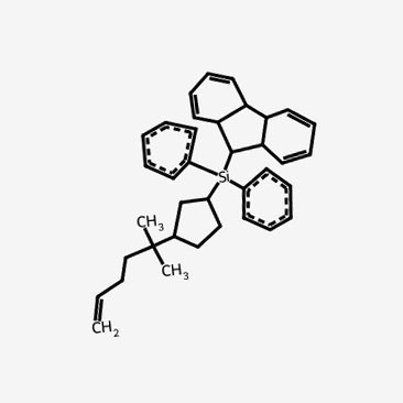 C=CCCC(C)(C)C1CCC([Si](c2ccccc2)(c2ccccc2)C2C3C=CC=CC3C3C=CC=CC32)C1